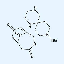 CCCCN1CCC2(CC1)CNCCN2.O=C1C=C2COC(=O)CC(=C1)C2=O